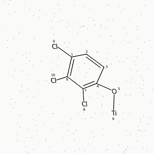 Clc1ccc([O][Ti])c(Cl)c1Cl